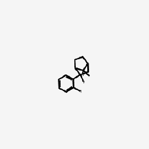 C[C@H]1C2CCC1C(I)(c1ccccc1I)C2